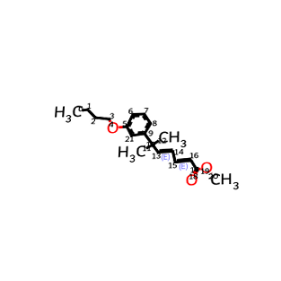 CCCCOc1cccc(C(C)(C)/C=C/C=C/C(=O)OC)c1